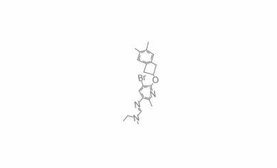 CCN(C)/C=N/c1cc(Br)c(OC2Cc3cc(C)c(C)cc3C2)nc1C